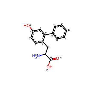 NC(Cc1ccc(O)cc1-c1ccccc1)C(=O)O